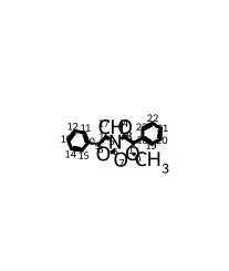 COC(C(=O)N1C(=O)O[C@@H](c2ccccc2)[C@@H]1C)c1ccccc1